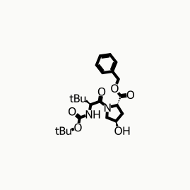 CC(C)(C)OC(=O)N[C@H](C(=O)N1C[C@H](O)C[C@H]1C(=O)OCc1ccccc1)C(C)(C)C